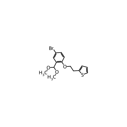 COC(OC)c1cc(Br)ccc1OCCc1cccs1